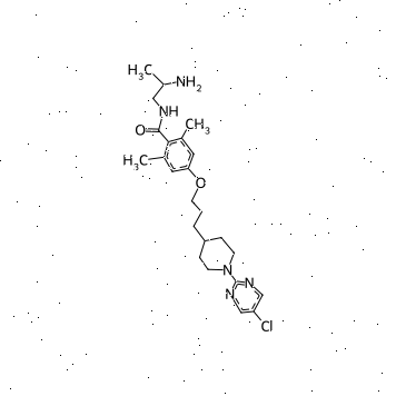 Cc1cc(OCCCC2CCN(c3ncc(Cl)cn3)CC2)cc(C)c1C(=O)NCC(C)N